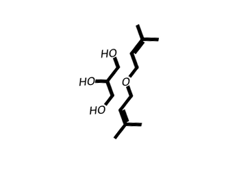 CC(C)=CCOCC=C(C)C.OCC(O)CO